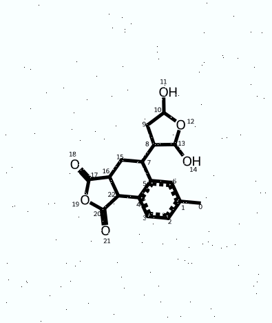 Cc1ccc2c(c1)C(C1CC(O)OC1O)CC1C(=O)OC(=O)C21